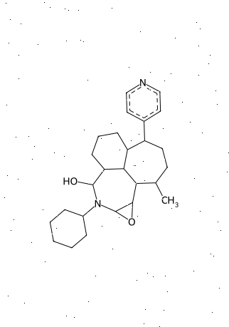 CC1CCC(c2ccncc2)C2CCCC3C2C1C1OC1N(C1CCCCC1)C3O